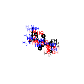 CC(C)C[C@H](NC(=O)[C@H](Cc1c[nH]c2ccccc12)NC(=O)[C@H](Cc1ccc(O)cc1)NC(=O)[C@H](CO)NC(=O)[C@H](Cc1ccc(O)cc1)NC(=O)[C@H](CC(N)=O)NC(=O)[C@@H](N)CCCNC(=N)N)C(=O)N[C@@H](CO)C(=O)N[C@H](C(=O)O)[C@@H](C)O